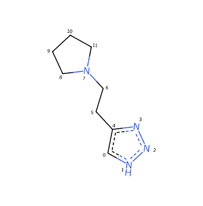 c1[nH]nnc1CCN1CCCC1